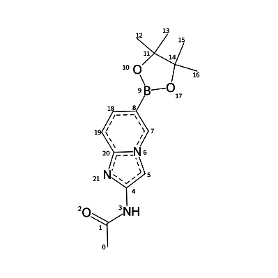 CC(=O)Nc1cn2cc(B3OC(C)(C)C(C)(C)O3)ccc2n1